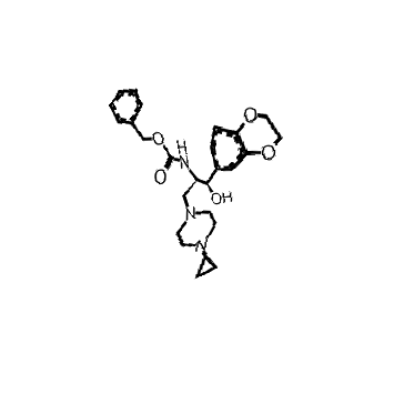 O=C(N[C@H](CN1CCN(C2CC2)CC1)[C@H](O)c1ccc2c(c1)OCCO2)OCc1ccccc1